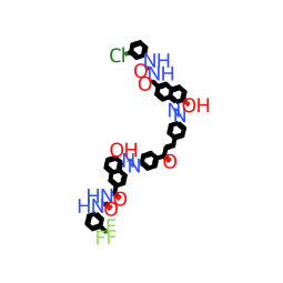 O=C(NC(=O)c1ccc2c(N=Nc3ccc(C=CC(=O)c4ccc(N=Nc5c(O)ccc6cc(C(=O)NC(=O)Nc7cccc(C(F)(F)F)c7)ccc56)cc4)cc3)c(O)ccc2c1)Nc1cccc(Cl)c1